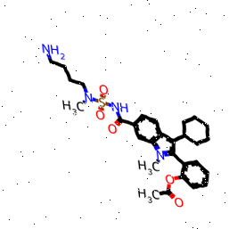 CC(=O)Oc1ccccc1-c1c(C2CCCCC2)c2ccc(C(=O)NS(=O)(=O)N(C)CCCCN)cc2n1C